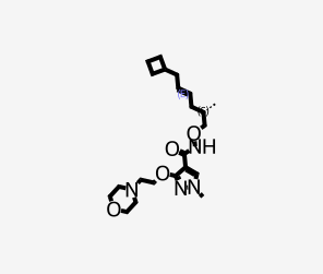 C[C@@H](C/C=C/CC1CCC1)CONC(=O)c1cn(C)nc1OCCN1CCOCC1